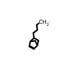 [CH2]CCCC1CC2C=CC1C2